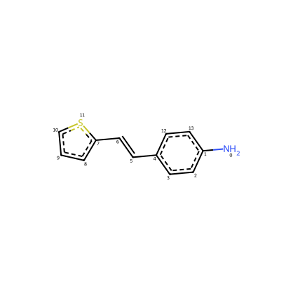 Nc1ccc(C=Cc2cccs2)cc1